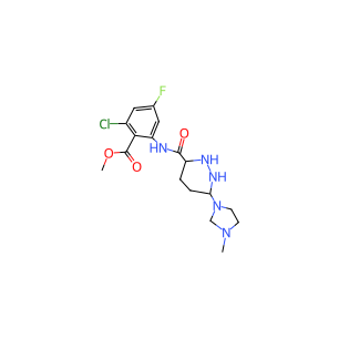 COC(=O)c1c(Cl)cc(F)cc1NC(=O)C1CCC(N2CCN(C)C2)NN1